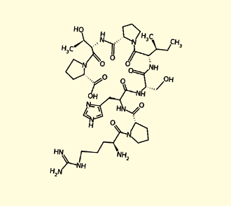 CC[C@H](C)[C@H](NC(=O)[C@H](CO)NC(=O)[C@H](Cc1c[nH]cn1)NC(=O)[C@@H]1CCCN1C(=O)[C@@H](N)CCCNC(=N)N)C(=O)N1CCC[C@H]1C(=O)N[C@H](C(=O)N1CCC[C@H]1C(=O)O)[C@@H](C)O